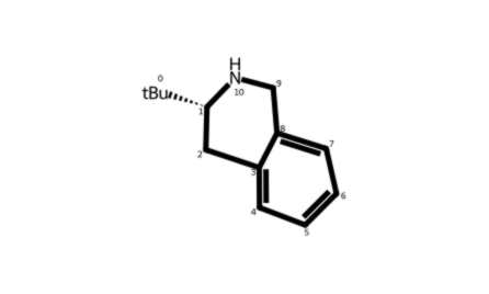 CC(C)(C)[C@H]1Cc2ccccc2CN1